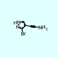 NC#Cc1c[nH]nc1Br